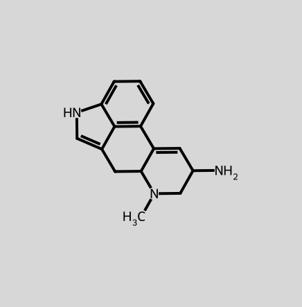 CN1CC(N)C=C2c3cccc4[nH]cc(c34)CC21